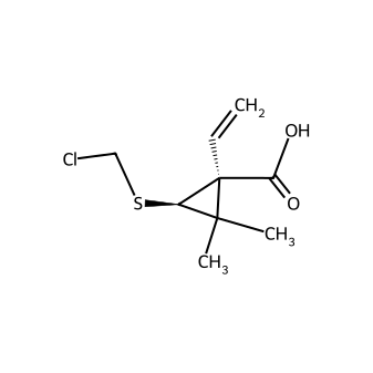 C=C[C@@]1(C(=O)O)[C@H](SCCl)C1(C)C